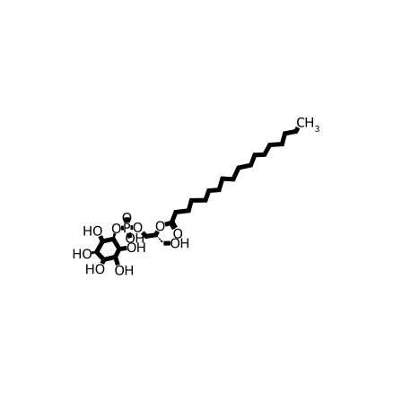 CCCCCCCCCCCCCCCCCC(=O)O[C@H](CO)COP(=O)(O)O[C@H]1C(O)C(O)C(O)[C@@H](O)C1O